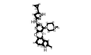 Cc1cc2c(F)c(Oc3cc(N4CCN(C)CC4)nc(Nc4cc(C5CC5)[nH]n4)n3)ccc2[nH]1